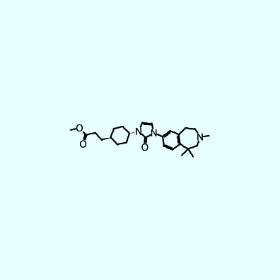 COC(=O)CC[C@H]1CC[C@H](n2ccn(-c3ccc4c(c3)CCN(C)CC4(C)C)c2=O)CC1